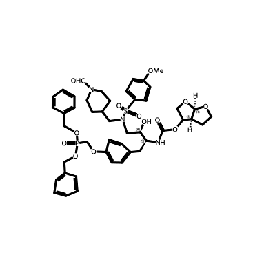 COc1ccc(S(=O)(=O)N(CC2CCN(C=O)CC2)C[C@@H](O)[C@H](Cc2ccc(OCP(=O)(OCc3ccccc3)OCc3ccccc3)cc2)NC(=O)OC2CO[C@H]3OCC[C@@H]23)cc1